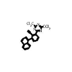 C#Cc1c(-c2nc(C(Cl)(Cl)Cl)nc(C(Cl)(Cl)Cl)n2)cccc1-c1cccc2ccccc12